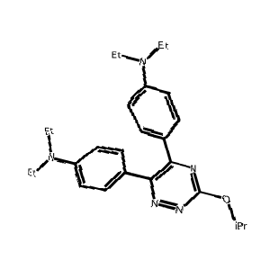 CCN(CC)c1ccc(-c2nnc(OC(C)C)nc2-c2ccc(N(CC)CC)cc2)cc1